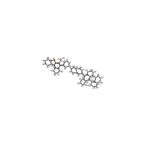 CC1(C)c2ccc(-c3ccc4cc(-c5c6ccccc6c(-c6cccc7ccccc67)c6ccccc56)ccc4c3)cc2-c2c1c1sc3ccccc3c1c1ccccc21